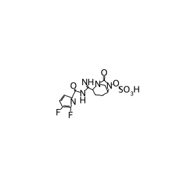 N=C(NC(=O)c1ccc(F)c(F)n1)C1CCC2CN1C(=O)N2OS(=O)(=O)O